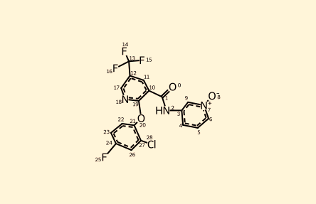 O=C(Nc1ccc[n+]([O-])c1)c1cc(C(F)(F)F)cnc1Oc1ccc(F)cc1Cl